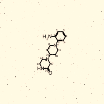 Nc1ccccc1N1CCC(N2CCNC(=O)C2)CC1